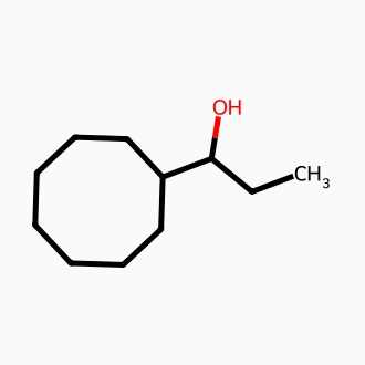 CCC(O)C1CCCCCCC1